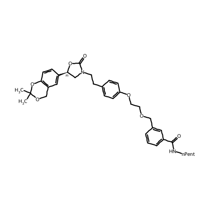 CCCCCNC(=O)c1cccc(COCCOc2ccc(CCN3C[C@@H](c4ccc5c(c4)COC(C)(C)O5)OC3=O)cc2)c1